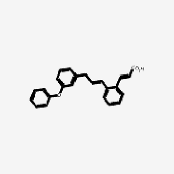 O=C(O)C=Cc1ccccc1C=CCc1cccc(Oc2ccccc2)c1